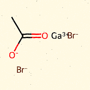 CC(=O)[O-].[Br-].[Br-].[Ga+3]